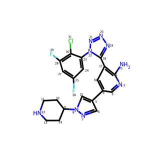 Nc1ncc(-c2cnn(C3CCNCC3)c2)cc1-c1nnnn1-c1cc(F)cc(F)c1Cl